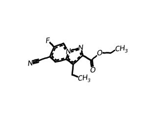 CCOC(=O)c1nn2cc(F)c(C#N)cc2c1CC